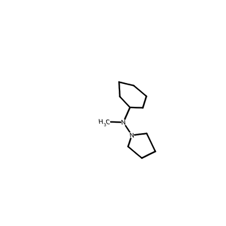 CN(C1CCCCC1)N1CCCC1